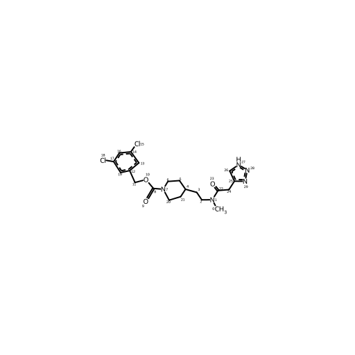 CN(CCC1CCN(C(=O)OCc2cc(Cl)cc(Cl)c2)CC1)C(=O)Cc1c[nH]nn1